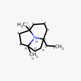 CCC12CCCC3(C)CCC(C)(CC1)N32